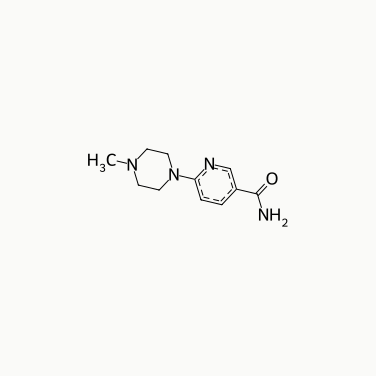 CN1CCN(c2ccc(C(N)=O)cn2)CC1